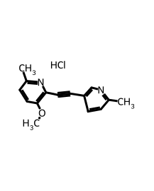 COc1ccc(C)nc1C#Cc1ccc(C)nc1.Cl